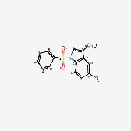 O=Cc1cn(S(=O)(=O)c2ccccc2)c2ccc(Cl)cc12